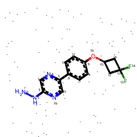 NNc1cnc(-c2ccc(OC3CC(F)(F)C3)cc2)cn1